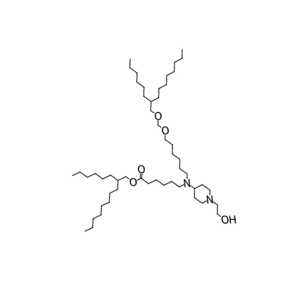 CCCCCCCCC(CCCCCC)COCOCCCCCCN(CCCCCC(=O)OCC(CCCCCC)CCCCCCCC)C1CCN(CCO)CC1